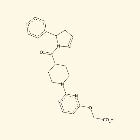 O=C(O)COc1ccnc(N2CCC(C(=O)N3N=CCC3c3ccccc3)CC2)n1